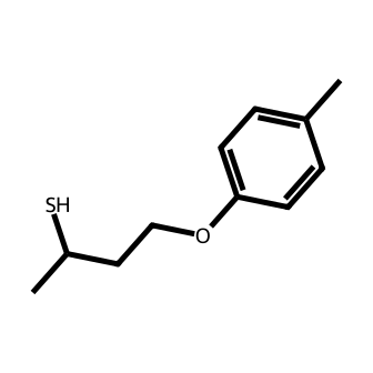 Cc1ccc(OCCC(C)S)cc1